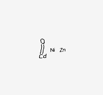 [Ni].[O]=[Cd].[Zn]